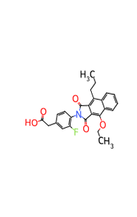 CCCc1c2c(c(OCC)c3ccccc13)C(=O)N(c1ccc(CC(=O)O)cc1F)C2=O